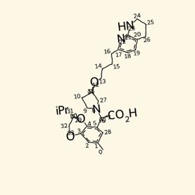 Cc1cc2c(c([C@H](C(=O)O)N3CC[C@@H](OCCCCc4ccc5c(n4)NCCC5)C3)c1)O[C@@H](C(C)C)CO2